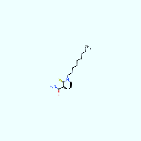 CCCCCCCCCn1cccc(C(N)=O)c1=S